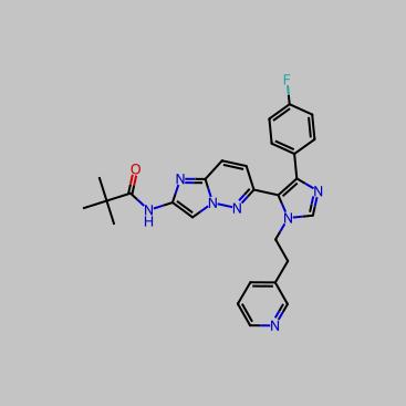 CC(C)(C)C(=O)Nc1cn2nc(-c3c(-c4ccc(F)cc4)ncn3CCc3cccnc3)ccc2n1